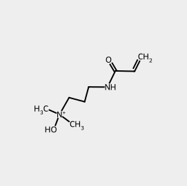 C=CC(=O)NCCC[N+](C)(C)O